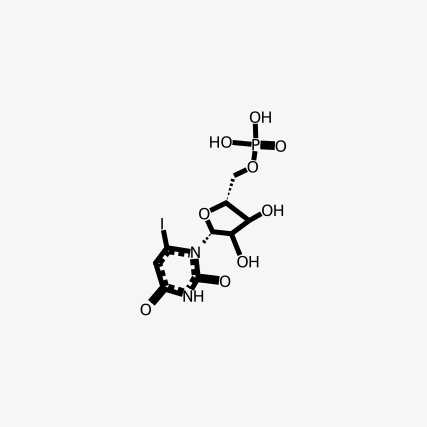 O=c1cc(I)n([C@@H]2O[C@H](COP(=O)(O)O)C(O)C2O)c(=O)[nH]1